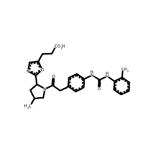 Cc1ccccc1NC(=O)Nc1ccc(CC(=O)N2CC(C)CC2c2ncc(CCC(=O)O)o2)cc1